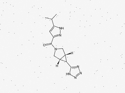 CC(C)c1cc(C(=O)N2C[C@@H]3C(c4nnn[nH]4)[C@@H]3C2)n[nH]1